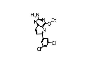 CCOc1nc(N)nc2ccc(-c3cc(Cl)cc(Cl)c3)nc12